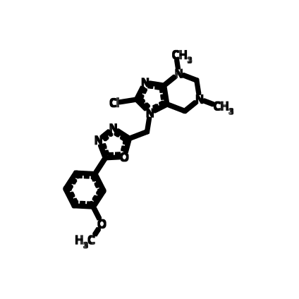 COc1cccc(-c2nnc(Cn3c(Cl)nc4c3CN(C)CN4C)o2)c1